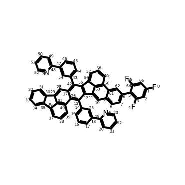 Fc1cc(F)c(-c2ccc3cc4c5c(-c6cccc(-c7ccccn7)c6)c6c(cc7c8ccccc8c8cccc6c87)c(-c6cccc(-c7ccccn7)c6)c5c5cccc(c3c2)c54)c(F)c1